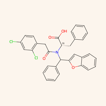 O=C(O)[C@H](Cc1ccccc1)N(C(=O)Cc1ccc(Cl)cc1Cl)C(c1ccccc1)c1cc2ccccc2o1